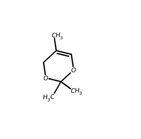 CC1=COC(C)(C)OC1